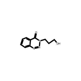 O=c1c2ccccc2nnn1CCCO